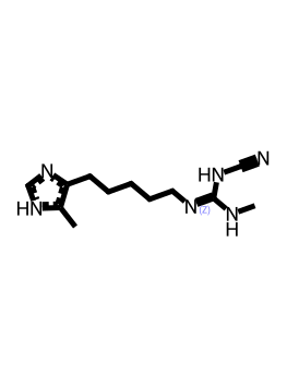 CN/C(=N/CCCCCc1nc[nH]c1C)NC#N